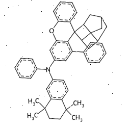 CC1(C)CCC(C)(C)c2cc(N(c3ccccc3)c3cc4c(c(-c5ccccc5)c3)C3(c5ccccc5O4)C4CC5CC6CC3C64C5)ccc21